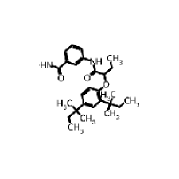 CCC(Oc1ccc(C(C)(C)CC)cc1C(C)(C)CC)C(=O)Nc1cccc(C([NH])=O)c1